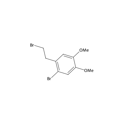 COc1cc(Br)c(CCBr)cc1OC